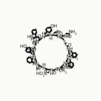 CCCC[C@H]1C(=O)N(C)CC(=O)N[C@@H](CC(=O)O)C(=O)N[C@@H](C(C)C)C(=O)N[C@@H](Cc2ccccc2)C(=O)N[C@@H](Cc2ccc(O)cc2)C(=O)N(C)CC(=O)NC(C)(Cc2c[nH]c3ccccc23)C(=O)N[C@@H](Cc2ccc(O)cc2)C(=O)N[C@@H](CC(C)C)C(=O)N[C@H](C(=O)NCC(N)=O)CSCC(=O)N[C@@H](Cc2ccccc2)C(=O)N(C)[C@@H](Cc2ccccc2)C(=O)N1C